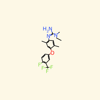 CCN(C)C(N)=Nc1cc(C)c(Oc2ccc(F)c(C(F)(F)F)c2)cc1C